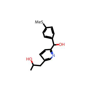 CSc1ccc(C(O)c2ccc(CC(C)O)cn2)cc1